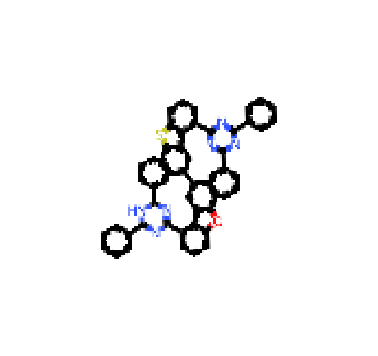 c1ccc(C2=NC(c3cccc4oc5ccc(-c6ccc7sc8cccc(-c9nc(-c%10ccccc%10)nc(-c%10ccccc%10)n9)c8c7c6)cc5c34)=NC(c3ccccc3)N2)cc1